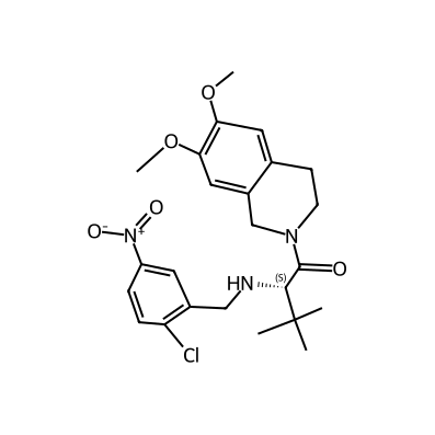 COc1cc2c(cc1OC)CN(C(=O)[C@@H](NCc1cc([N+](=O)[O-])ccc1Cl)C(C)(C)C)CC2